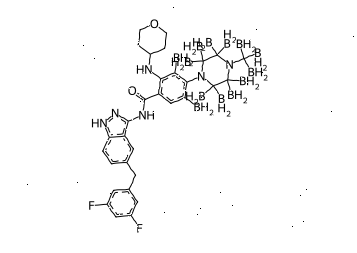 Bc1cc(C(=O)Nc2n[nH]c3ccc(Cc4cc(F)cc(F)c4)cc23)c(NC2CCOCC2)c(B)c1N1C(B)(B)C(B)(B)N(C(B)(B)B)C(B)(B)C1(B)B